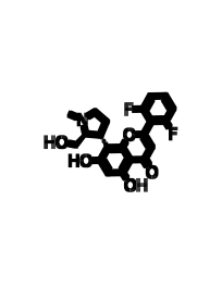 CN1CC[C@H](c2c(O)cc(O)c3c(=O)cc(-c4c(F)cccc4F)oc23)[C@H]1CO